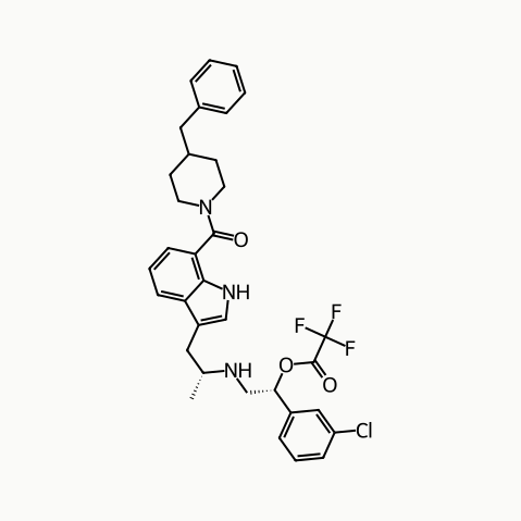 C[C@H](Cc1c[nH]c2c(C(=O)N3CCC(Cc4ccccc4)CC3)cccc12)NC[C@H](OC(=O)C(F)(F)F)c1cccc(Cl)c1